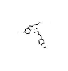 O=C(O)CCCc1cc2cc(C(F)(F)F)ccc2n1S(=O)(=O)CC=Cc1ccc2c(c1)OCO2